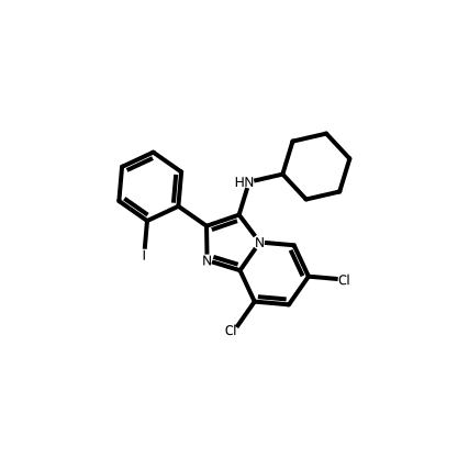 Clc1cc(Cl)c2nc(-c3ccccc3I)c(NC3CCCCC3)n2c1